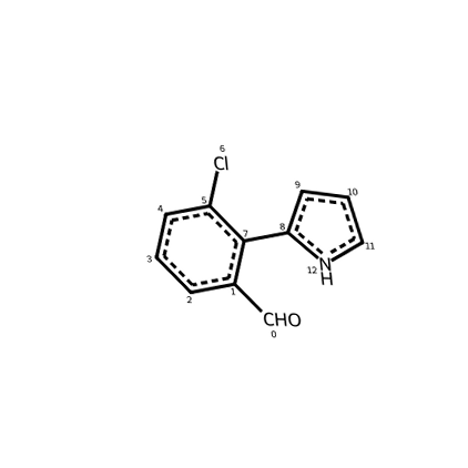 O=Cc1cccc(Cl)c1-c1ccc[nH]1